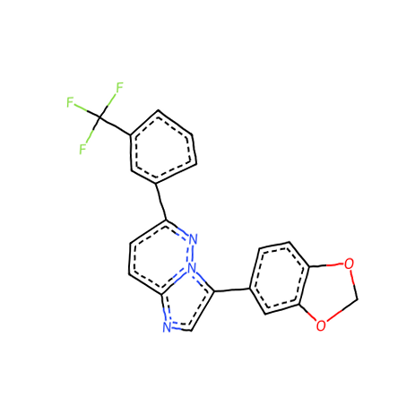 FC(F)(F)c1cccc(-c2ccc3ncc(-c4ccc5c(c4)OCO5)n3n2)c1